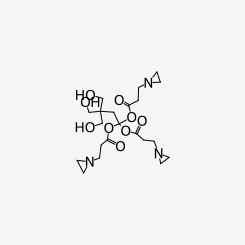 O=C(CCN1CC1)OC(CC(CO)(CO)CO)(OC(=O)CCN1CC1)OC(=O)CCN1CC1